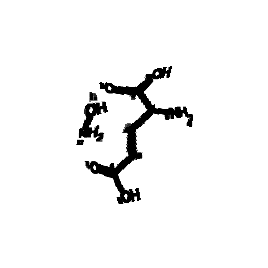 NC(CCC(=O)O)C(=O)O.NO